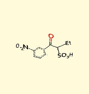 CCC(C(=O)c1[c]ccc([N+](=O)[O-])c1)S(=O)(=O)O